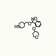 c1cc(OC2CCOCC2)c2c(OCC3CCNCC3)noc2c1